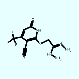 N#Cc1c(C(F)(F)F)cc(=O)[nH]c1SC/C(=N/N)NN